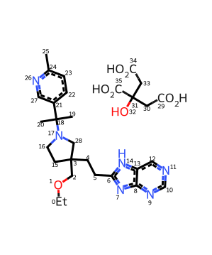 CCOCC1(CCc2nc3ncncc3[nH]2)CCN(C(C)(C)c2ccc(C)nc2)C1.O=C(O)CC(O)(CC(=O)O)C(=O)O